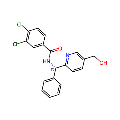 O=C(N[C@@H](c1ccccc1)c1ccc(CO)cn1)c1ccc(Cl)c(Cl)c1